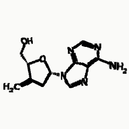 C=C1C[C@@H](n2cnc3c(N)ncnc32)O[C@H]1CO